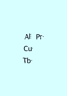 [Al].[Cu].[Pr].[Tb]